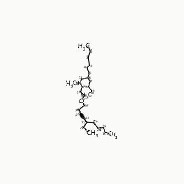 CCCCCCC(CCCC)CN(C)CCCOCCC#CC(CC)CCCCC